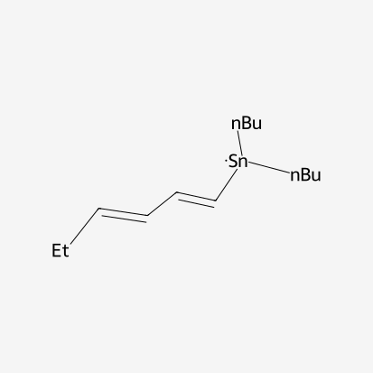 CCC=CC=[CH][Sn]([CH2]CCC)[CH2]CCC